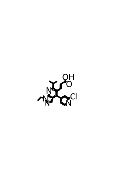 CCn1ncc2c(-c3ccnc(Cl)c3)c(C=CC(=O)O)c(C(C)C)nc21